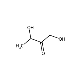 CC(O)C(=O)CO